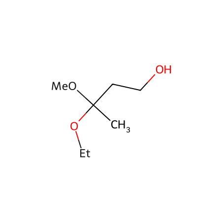 CCOC(C)(CCO)OC